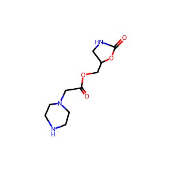 O=C(CN1CCNCC1)OCC1CNC(=O)O1